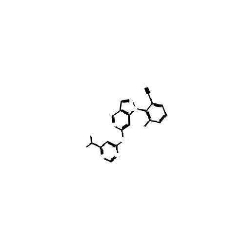 N#Cc1cccc(Cl)c1-n1ncc2cnc(Nc3cc(C(F)F)ncn3)cc21